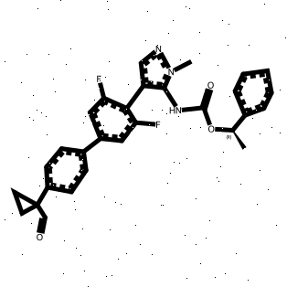 C[C@@H](OC(=O)Nc1c(-c2c(F)cc(-c3ccc(C4(C=O)CC4)cc3)cc2F)cnn1C)c1ccccc1